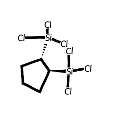 Cl[Si](Cl)(Cl)[C@H]1CCC[C@@H]1[Si](Cl)(Cl)Cl